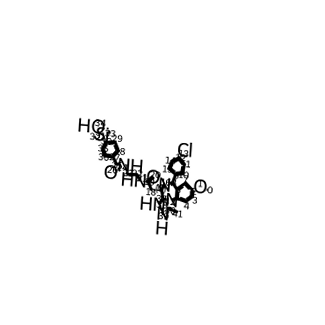 COc1ccc2c(c1)C(c1ccc(Cl)cc1)=N[C@@H](CC(=O)NCCNC(=O)c1ccc([Si](C)(C)O)cc1)C1NNC(C)N21